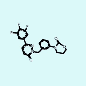 O=C1OCCCN1c1cccc(Cn2nc(-c3cc(F)c(F)c(F)c3)ccc2=O)c1